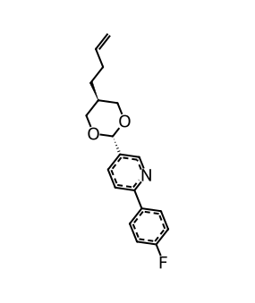 C=CCC[C@H]1CO[C@H](c2ccc(-c3ccc(F)cc3)nc2)OC1